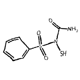 NC(=O)N(S)S(=O)(=O)c1ccccc1